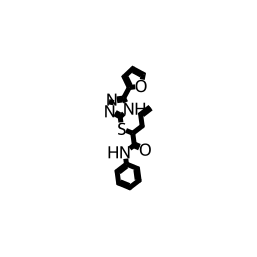 C=CCC(Sc1nnc(-c2ccco2)[nH]1)C(=O)Nc1ccccc1